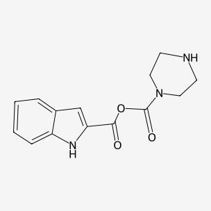 O=C(OC(=O)N1CCNCC1)c1cc2ccccc2[nH]1